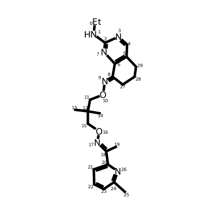 CCNc1ncc2c(n1)/C(=N/OCC(C)(C)CO/N=C(\C)c1cccc(C)n1)CCC2